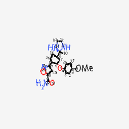 COc1ccc(Oc2cc(C3(C)NCCN3)ccc2-c2cc(C(N)=O)on2)cc1